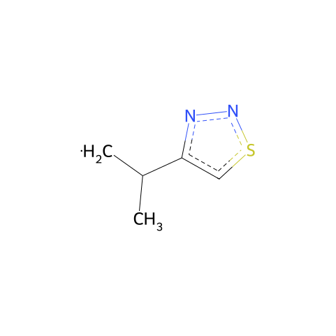 [CH2]C(C)c1csnn1